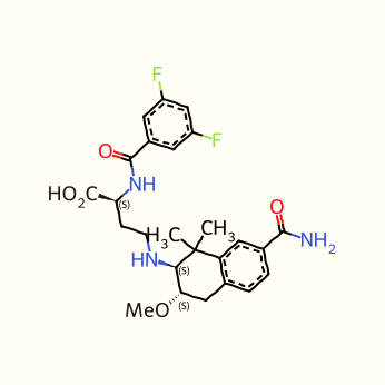 CO[C@H]1Cc2ccc(C(N)=O)cc2C(C)(C)[C@@H]1NCC[C@H](NC(=O)c1cc(F)cc(F)c1)C(=O)O